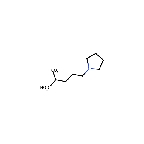 O=C(O)C(CCCN1CCCC1)C(=O)O